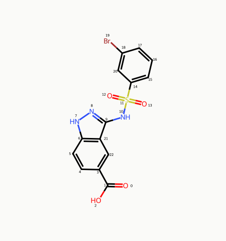 O=C(O)c1ccc2[nH]nc(NS(=O)(=O)c3cccc(Br)c3)c2c1